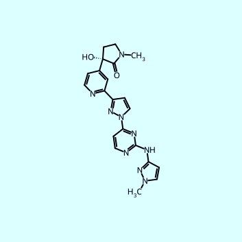 CN1CC[C@](O)(c2ccnc(-c3ccn(-c4ccnc(Nc5ccn(C)n5)n4)n3)c2)C1=O